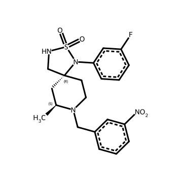 C[C@H]1C[C@]2(CCN1Cc1cccc([N+](=O)[O-])c1)CNS(=O)(=O)N2c1cccc(F)c1